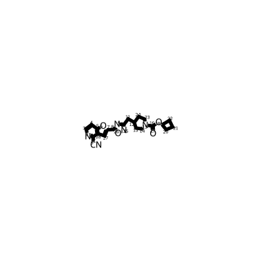 N#Cc1nccc2oc(-c3nc(CC4CCN(C(=O)OC5CCC5)CC4)no3)cc12